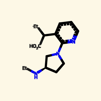 C[CH]C(C(=O)O)c1cccnc1N1CC[C@@H](NCC)C1